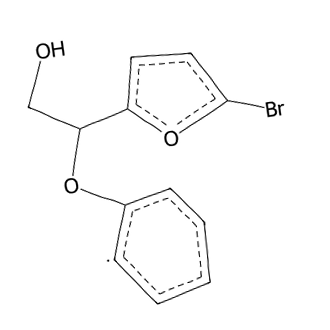 OCC(Oc1[c]cccc1)c1ccc(Br)o1